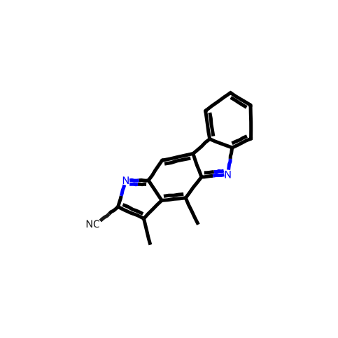 CC1=C(C#N)N=c2cc3c(c(C)c21)=Nc1ccccc1-3